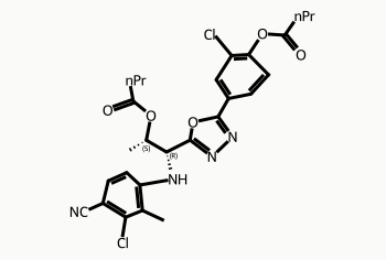 CCCC(=O)Oc1ccc(-c2nnc([C@H](Nc3ccc(C#N)c(Cl)c3C)[C@H](C)OC(=O)CCC)o2)cc1Cl